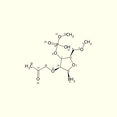 B[C@@H]1O[C@H](COC)C(OP(=O)(O)OC)[C@@H]1OCC(C)=O